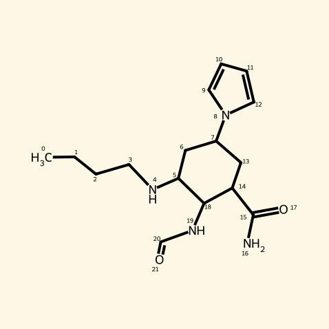 CCCCNC1CC(n2cccc2)CC(C(N)=O)C1NC=O